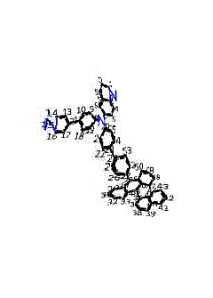 c1cnc2ccc(N(c3ccc(-c4ccncc4)cc3)c3ccc(-c4ccc(-c5c6ccccc6c(-c6cccc7ccccc67)c6ccccc56)cc4)cc3)cc2c1